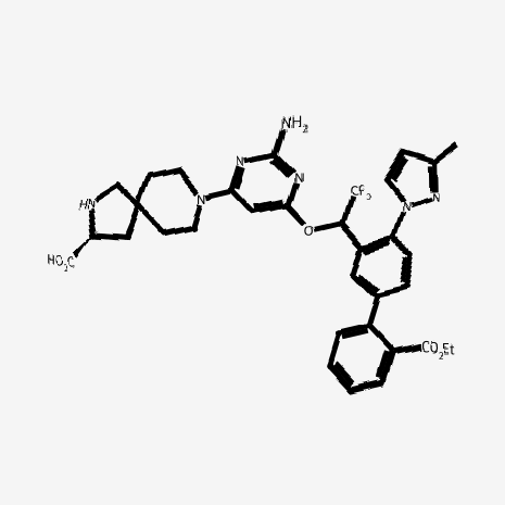 CCOC(=O)c1ccccc1-c1ccc(-n2ccc(C)n2)c(C(Oc2cc(N3CCC4(CC3)CN[C@H](C(=O)O)C4)nc(N)n2)C(F)(F)F)c1